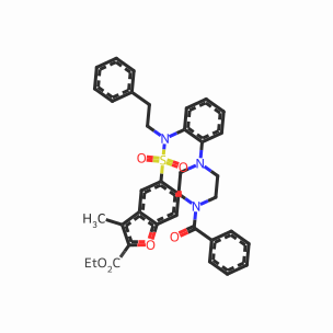 CCOC(=O)c1oc2ccc(S(=O)(=O)N(CCc3ccccc3)c3ccccc3N3CCN(C(=O)c4ccccc4)CC3)cc2c1C